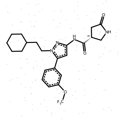 O=C1C[C@@H](C(=O)Nc2cc(-c3cccc(OC(F)(F)F)c3)n(CCC3CCCCC3)n2)CN1